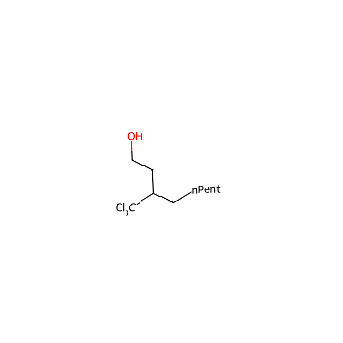 CCCCCCC(CCO)C(Cl)(Cl)Cl